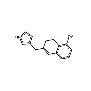 CC(=O)Oc1cccc2c1CCC(Cc1c[nH]cn1)=C2